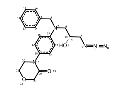 [N-]=[N+]=NC[C@H](O)CN(Cc1ccccc1)c1ccc(N2CCOCC2=O)cc1